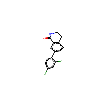 O=C1NCCc2ccc(-c3ccc(Cl)cc3F)cc21